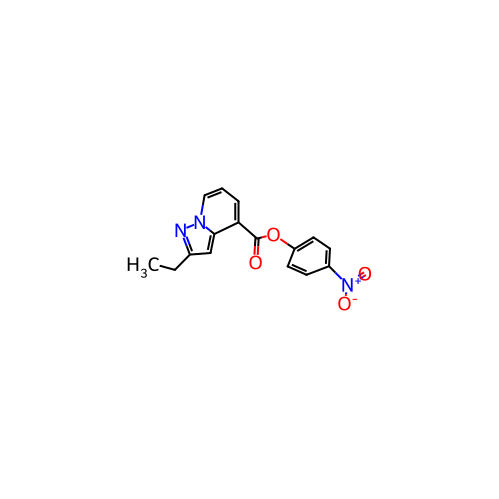 CCc1cc2c(C(=O)Oc3ccc([N+](=O)[O-])cc3)cccn2n1